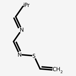 C=CS/N=C\N=C\C(C)C